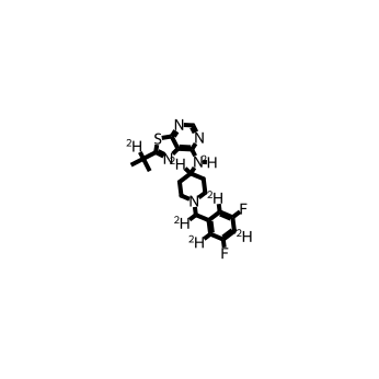 [2H]c1c(F)c([2H])c(C([2H])N2CCC([2H])(N([2H])c3ncnc4sc(C([2H])(C)C)nc34)CC2)c([2H])c1F